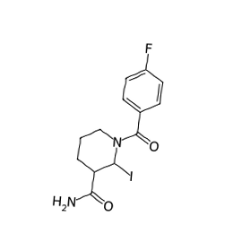 NC(=O)C1CCCN(C(=O)c2ccc(F)cc2)C1I